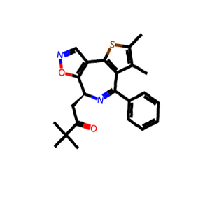 Cc1sc2c(c1C)C(c1ccccc1)=N[C@@H](CC(=O)C(C)(C)C)c1oncc1-2